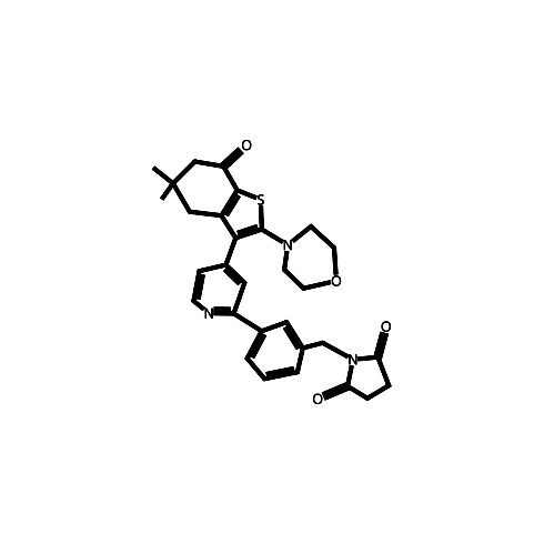 CC1(C)CC(=O)c2sc(N3CCOCC3)c(-c3ccnc(-c4cccc(CN5C(=O)CCC5=O)c4)c3)c2C1